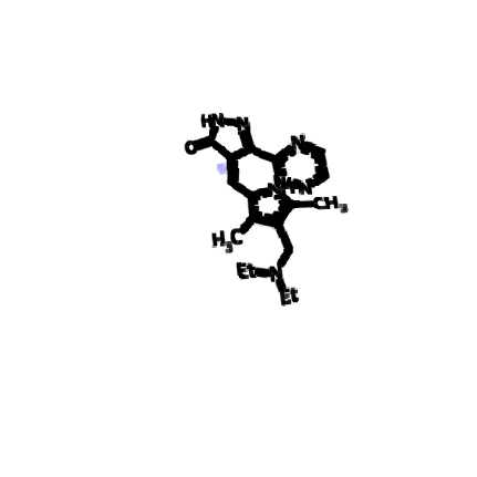 CCN(CC)Cc1c(C)[nH]c(/C=C2/C(=O)NN=C2c2nccnn2)c1C